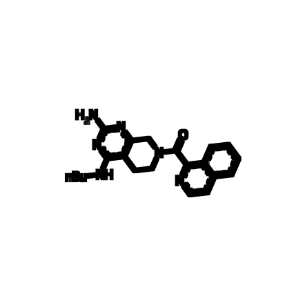 CCCCNc1nc(N)nc2c1CCN(C(=O)c1nccc3ccccc13)C2